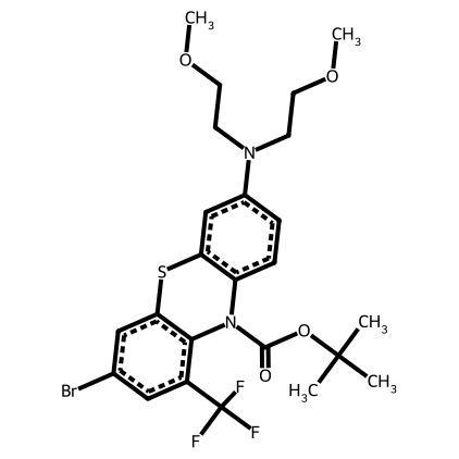 COCCN(CCOC)c1ccc2c(c1)Sc1cc(Br)cc(C(F)(F)F)c1N2C(=O)OC(C)(C)C